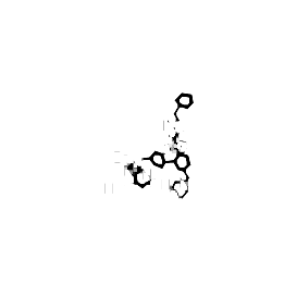 CCc1nc2c(C)cc(C)nc2n1Cc1ccc(-c2cc(CN3CCOCC3)ccc2S(=O)(=O)NC(=O)NCCc2ccccc2)cc1